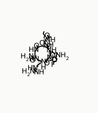 CCCC[C@H](NC(C)=O)C(=O)N[C@H]1CCC(=O)NCC[C@@H](C(N)=O)NC[C@H](CCCNC(=N)N)NC(=O)[C@@H](Cc2ccccc2F)NC(=O)[C@H](CCCN)NC1=O